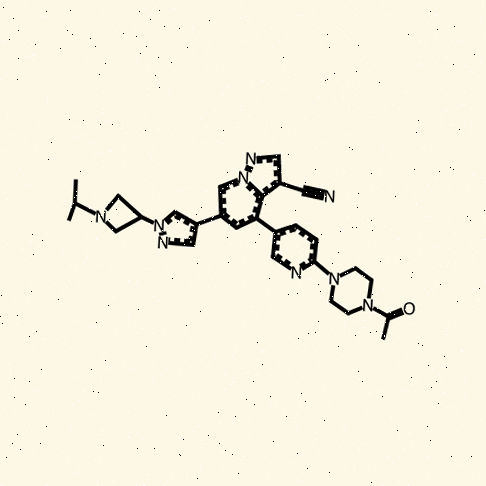 CC(=O)N1CCN(c2ccc(-c3cc(-c4cnn(C5CN(C(C)C)C5)c4)cn4ncc(C#N)c34)cn2)CC1